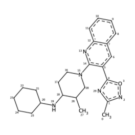 Cc1noc(-c2cc3ccccc3nc2N2CCC(NC3CCCCC3)C(C)C2)n1